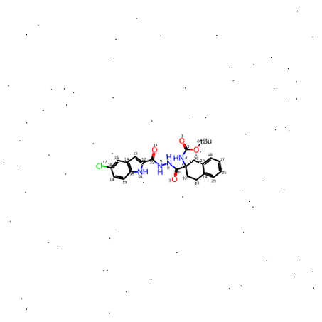 CC(C)(C)OC(=O)NC1(C(=O)NNC(=O)c2cc3cc(Cl)ccc3[nH]2)CCc2ccccc2C1